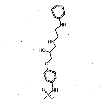 CS(=O)(=O)Nc1ccc(OCC(O)CNCCNc2ccccc2)cc1